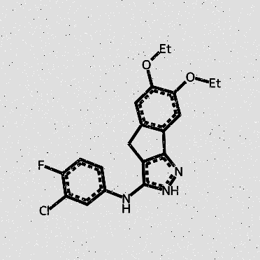 CCOc1cc2c(cc1OCC)-c1n[nH]c(Nc3ccc(F)c(Cl)c3)c1C2